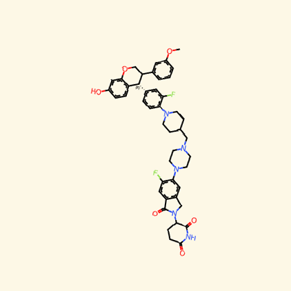 COc1cccc(C2COc3cc(O)ccc3[C@H]2c2ccc(N3CCC(CN4CCN(c5cc6c(cc5F)C(=O)N(C5CCC(=O)NC5=O)C6)CC4)CC3)c(F)c2)c1